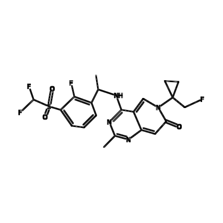 Cc1nc(NC(C)c2cccc(S(=O)(=O)C(F)F)c2F)c2cn(C3(CF)CC3)c(=O)cc2n1